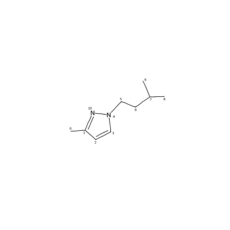 Cc1ccn(CCC(C)C)n1